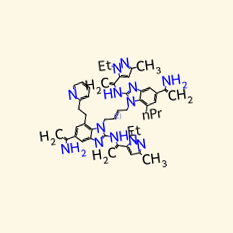 C=C(N)c1cc(CCC)c2c(c1)nc(NC(=C)c1cc(C)nn1CC)n2C/C=C/Cn1c(NC(=C)c2cc(C)nn2CC)nc2cc(C(=C)N)cc(CCc3ccccn3)c21